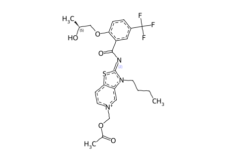 CCCCn1/c(=N/C(=O)c2cc(C(F)(F)F)ccc2OC[C@H](C)O)sc2cc[n+](COC(C)=O)cc21